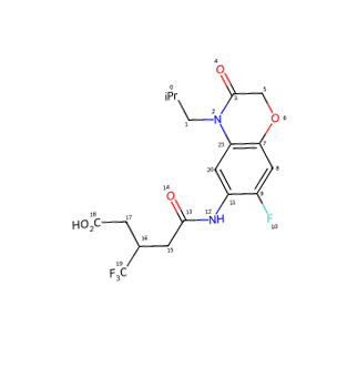 CC(C)CN1C(=O)COc2cc(F)c(NC(=O)CC(CC(=O)O)C(F)(F)F)cc21